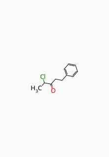 CC(Cl)C(=O)CCc1ccccc1